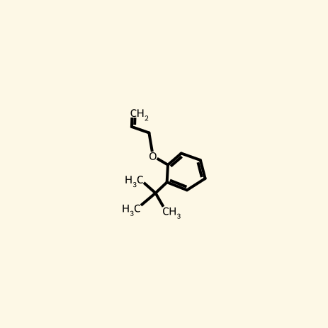 C=CCOc1ccccc1C(C)(C)C